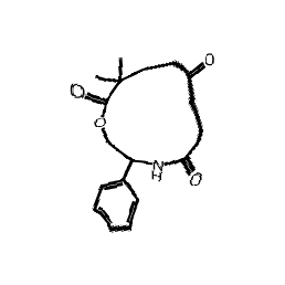 CC1(C)CCC(=O)CCC(=O)NC(c2ccccc2)COC1=O